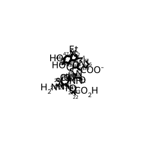 CCn1cc(C[N+]2(CC3=C(C(=O)[O-])N4C(=O)[C@@H](NC(=O)/C(=N\OC(C)(C)C(=O)O)c5nc(N)sc5Cl)[C@H]4SC3)CCCC2)c(=O)c2c(Cl)c(O)c(O)cc21